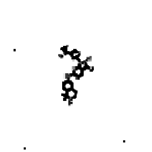 CCn1c(=O)c2cnc(Nc3ccc4c(c3)CCNC4(C)C)nc2n1-c1nc(C2(C#N)CC2)cs1